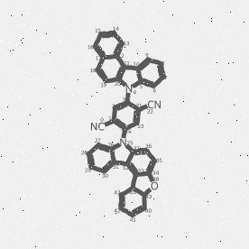 N#Cc1cc(-n2c3ccccc3c3c4ccccc4ccc32)c(C#N)cc1-n1c2ccccc2c2c3c(ccc21)OC1C=CC=CC31